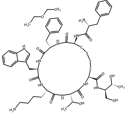 CC(O)[C@@H]1NC(=O)[C@H](CCCCN)NC(=O)[C@@H](Cc2c[nH]c3ccccc23)NC(=O)[C@H](Cc2ccccc2)NC(=O)[C@@H](NC(=O)[C@H](N)Cc2ccccc2)CSSC[C@@H](C(=O)N[C@H](CO)[C@@H](C)O)NC1=O.CCOCC